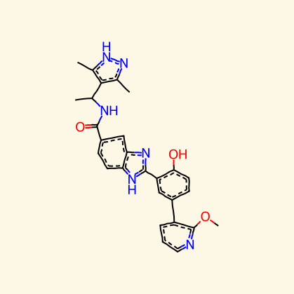 COc1ncccc1-c1ccc(O)c(-c2nc3cc(C(=O)NC(C)c4c(C)n[nH]c4C)ccc3[nH]2)c1